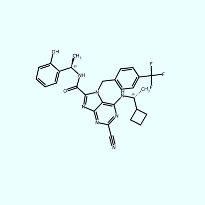 C[C@@H](NC(=O)c1nc2nc(C#N)nc(N[C@H](C)C3CCC3)c2n1Cc1ccc(C(F)(F)F)cc1)c1ccccc1O